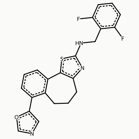 Fc1cccc(F)c1CNc1nc2c(s1)-c1cccc(-c3cnco3)c1CCC2